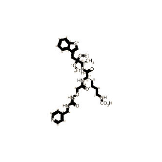 CCOC(Cc1csc2ccccc12)(OCC)[C@H](C)NC(=O)[C@H](CCCCNC(=O)O)NC(=O)CONC(=O)NCc1ccncc1